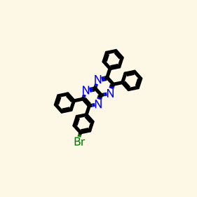 Brc1ccc(-c2nc3nc(-c4ccccc4)c(-c4ccccc4)nc3nc2-c2ccccc2)cc1